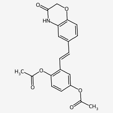 CC(=O)Oc1ccc(OC(C)=O)c(C=Cc2ccc3c(c2)NC(=O)CO3)c1